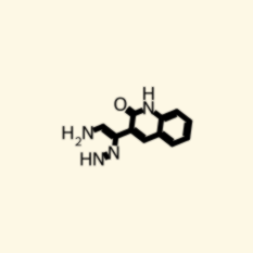 N=N/C(=C\N)c1cc2ccccc2[nH]c1=O